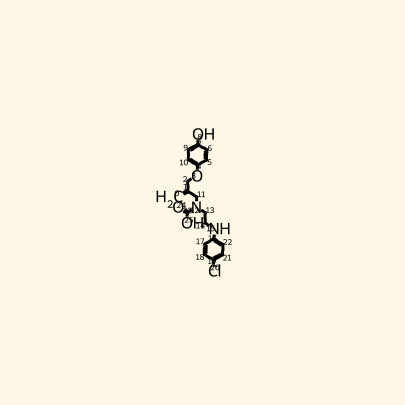 C=C(COc1ccc(O)cc1)CN(CCNc1ccc(Cl)cc1)C(=O)O